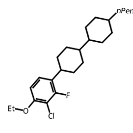 CCCCCC1CCC(C2CCC(c3ccc(OCC)c(Cl)c3F)CC2)CC1